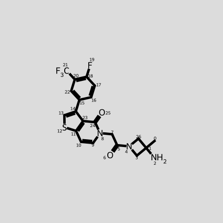 CC1(N)CN(C(=O)Cn2ccc3scc(-c4ccc(F)c(C(F)(F)F)c4)c3c2=O)C1